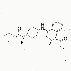 CCOC(=O)C(F)=C1CCC(N[C@@H]2C[C@H](C)N(C(=O)CC)c3ccccc32)CC1